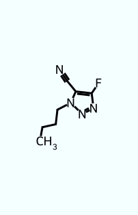 CCCCn1nnc(F)c1C#N